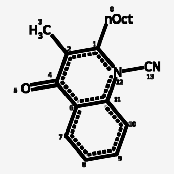 CCCCCCCCc1c(C)c(=O)c2ccccc2n1C#N